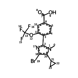 Cn1c(-c2ccc(C(=O)O)cc2OC(F)(F)F)nc(Br)c1C1CC1